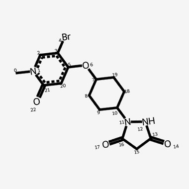 Cn1cc(Br)c(OC2CCC(N3NC(=O)CC3=O)CC2)cc1=O